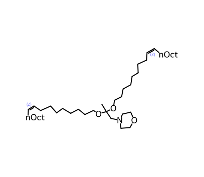 CCCCCCCC/C=C\CCCCCCCCOC(C)(CN1CCOCC1)OCCCCCCCC/C=C\CCCCCCCC